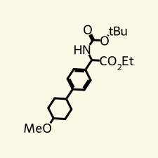 CCOC(=O)C(NC(=O)OC(C)(C)C)c1ccc(C2CCC(OC)CC2)cc1